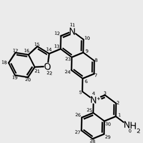 Nc1cc[n+](Cc2ccc3cncc(-c4cc5ccccc5o4)c3c2)c2ccccc12